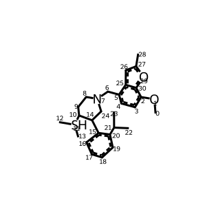 COc1ccc(CN2CCC([SH](C)C)C(c3ccccc3C(C)C)C2)c2cc(C)oc12